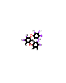 Cc1c(C)c2c(c(I)c1I)B1c3c(I)c(I)c(I)c(I)c3Oc3c(I)c(I)c(C)c(c31)O2